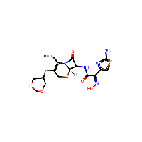 Nc1nc(/C(=N/O)C(=O)NC2C(=O)N3C(C(=O)O)=C(SC4COCOC4)CS[C@H]23)cs1